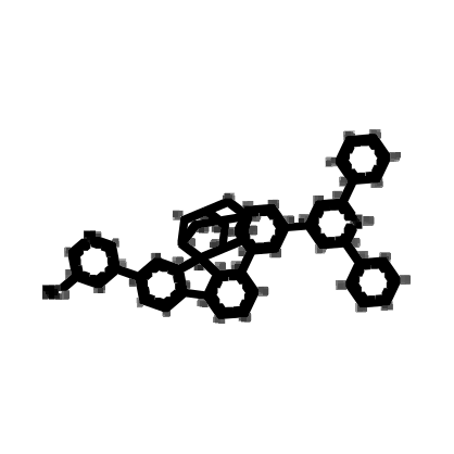 N#Cc1cncc(-c2ccc3c(c2)C2(c4c(-c5cccc(-c6cc(-c7ccccc7)nc(-c7ccccc7)c6)c5)cccc4-3)C3CC4CC(C3)CC2C4)c1